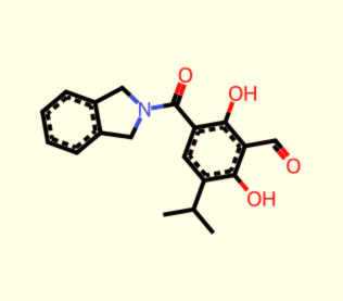 CC(C)c1cc(C(=O)N2Cc3ccccc3C2)c(O)c(C=O)c1O